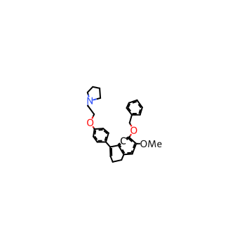 COc1cc2c(cc1OCc1ccccc1)C(c1ccc(OCCN3CCCC3)cc1)=CCC2